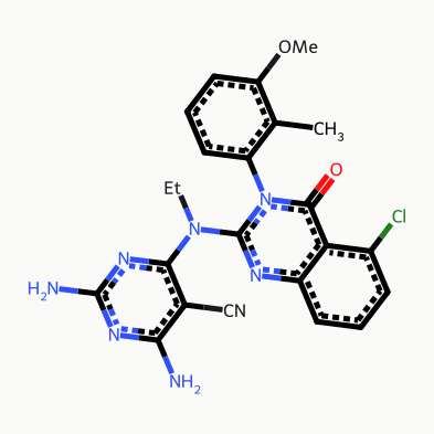 CCN(c1nc(N)nc(N)c1C#N)c1nc2cccc(Cl)c2c(=O)n1-c1cccc(OC)c1C